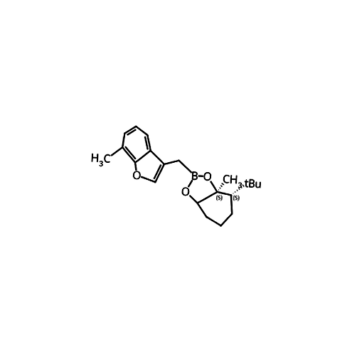 Cc1cccc2c(CB3OC4CCC[C@@H](C(C)(C)C)[C@]4(C)O3)coc12